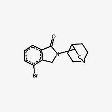 O=C1c2cccc(Br)c2CN1C1CN2CCC1CC2